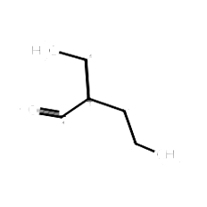 CCCC([C]=O)CC